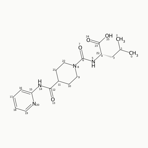 CC(C)C[C@H](NC(=O)N1CCC(C(=O)Nc2ccccn2)CC1)C(=O)O